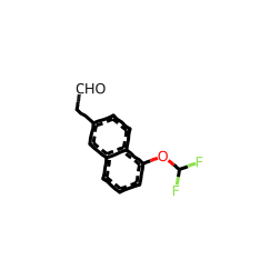 O=CCc1ccc2c(OC(F)F)cccc2c1